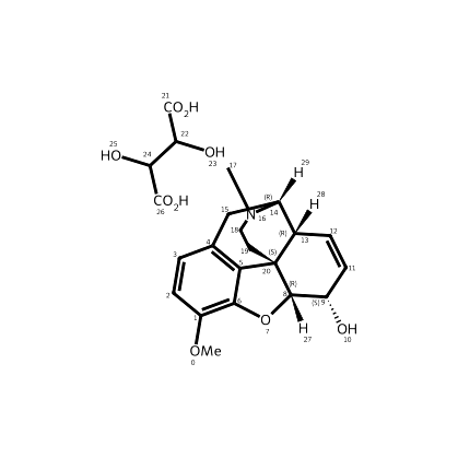 COc1ccc2c3c1O[C@H]1[C@@H](O)C=C[C@H]4[C@@H](C2)N(C)CC[C@@]341.O=C(O)C(O)C(O)C(=O)O